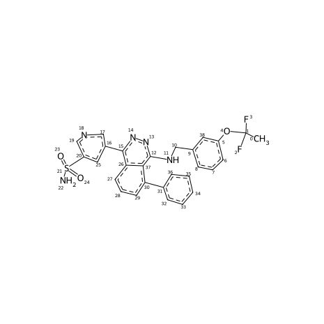 CC(F)(F)Oc1cccc(CNc2nnc(-c3cncc(S(N)(=O)=O)c3)c3cccc(-c4ccccc4)c23)c1